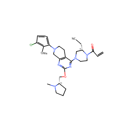 C=CC(=O)N1CCN(c2nc(OC[C@@H]3CCCN3C)nc3c2CCN(c2cccc(Cl)c2OC)C3)C[C@@H]1CC#N